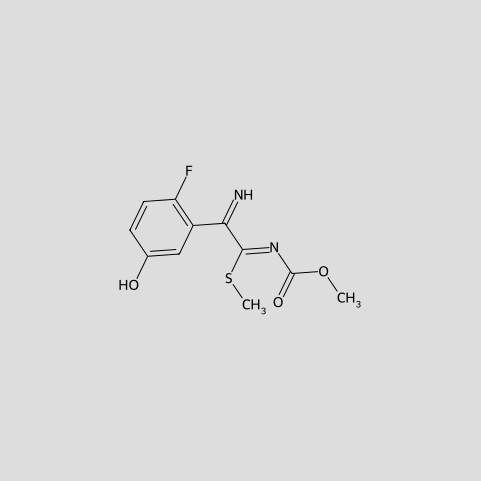 COC(=O)N=C(SC)C(=N)c1cc(O)ccc1F